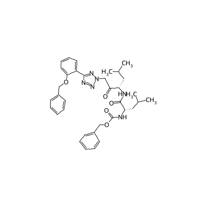 CC(C)C[C@H](NC(=O)[C@H](CC(C)C)NC(=O)OCc1ccccc1)C(=O)Cn1nnc(-c2ccccc2OCc2ccccc2)n1